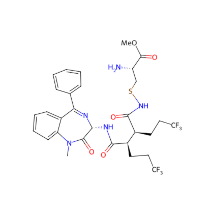 COC(=O)[C@@H](N)CSNC(=O)[C@@H](CCC(F)(F)F)[C@@H](CCC(F)(F)F)C(=O)N[C@H]1N=C(c2ccccc2)c2ccccc2N(C)C1=O